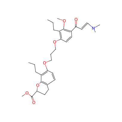 CCCc1c(OCCCOc2ccc(C(=O)C=CN(C)C)c(OC)c2CCC)ccc2c1OC(C(=O)OC)CC2